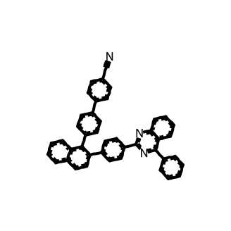 N#Cc1ccc(-c2ccc(-c3c(-c4ccc(-c5nc(-c6ccccc6)c6ccccc6n5)cc4)ccc4ccccc34)cc2)cc1